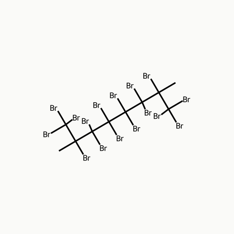 CC(Br)(C(Br)(Br)Br)C(Br)(Br)C(Br)(Br)C(Br)(Br)C(Br)(Br)C(C)(Br)C(Br)(Br)Br